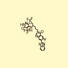 O=c1[nH]ncc(NC(CCCn2cnc3cc(-c4nc5ccccn5n4)c(F)cc3c2=O)COC(F)F)c1C(F)(F)F